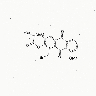 COc1cc2c(c(CBr)c1OC(=O)OC(C)(C)C)C(=O)c1c(OC)cccc1C2=O